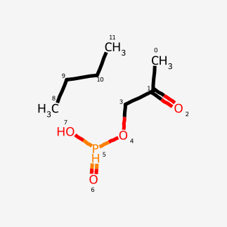 CC(=O)CO[PH](=O)O.CCCC